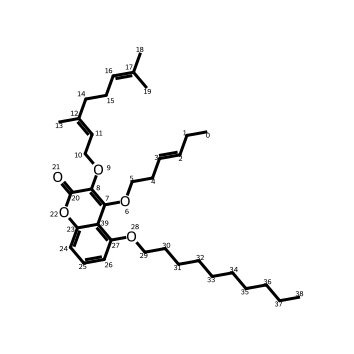 CCC=CCCOc1c(OC/C=C(\C)CCC=C(C)C)c(=O)oc2cccc(OCCCCCCCCCC)c12